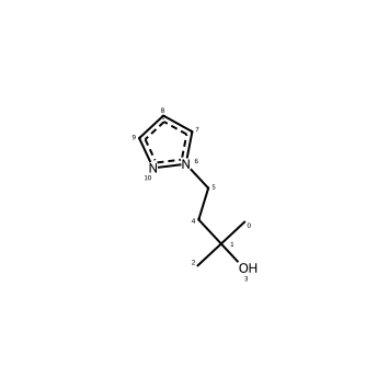 CC(C)(O)CCn1c[c]cn1